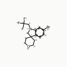 FC(F)(F)CN1CC2(CCOCC2)c2ccc(Br)cc21